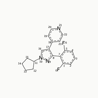 Fc1cccc(F)c1-c1nn(C2CCCC2)cc1-c1ccncc1